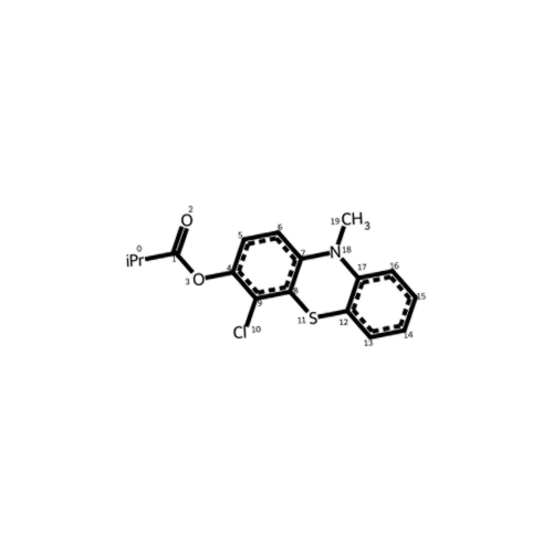 CC(C)C(=O)Oc1ccc2c(c1Cl)Sc1ccccc1N2C